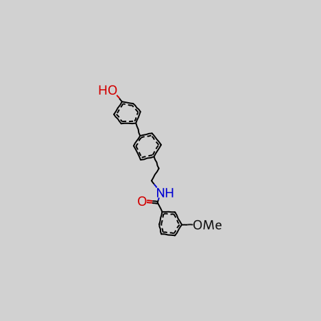 COc1cccc(C(=O)NCCc2ccc(-c3ccc(O)cc3)cc2)c1